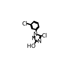 Oc1nc(Cl)n(-c2cccc(Cl)c2)n1